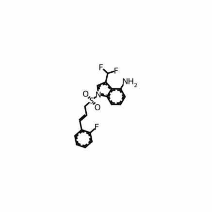 Nc1cccc2c1c(C(F)F)cn2S(=O)(=O)CC=Cc1ccccc1F